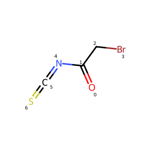 O=C(CBr)N=C=S